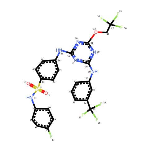 O=S(=O)(Nc1ccc(F)cc1)c1ccc(Nc2nc(Nc3cccc(C(F)(F)F)c3)nc(OCC(F)(F)F)n2)cc1